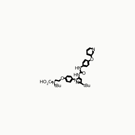 CC(C)(C)c1cc(NC(=O)Nc2ccc(Oc3cccnc3)cc2)n(-c2ccc(OCCN(C(=O)O)C(C)(C)C)cc2)n1